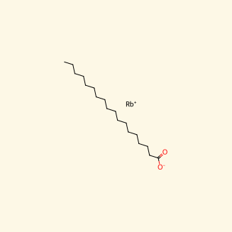 CCCCCCCCCCCCCCCCCC(=O)[O-].[Rb+]